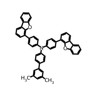 Cc1cc(C)cc(-c2ccc(N(c3ccc(-c4cccc5c4oc4ccccc45)cc3)c3ccc(-c4cccc5c4oc4ccccc45)cc3)cc2)c1